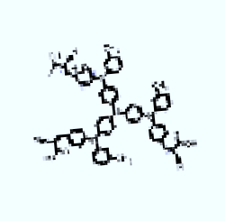 C=C(/C=C\C(=C/C)N(c1ccc(N(c2ccc(N(c3ccc(/C=C(/C#N)C(=O)O)cc3)c3cccc(C)c3)cc2)c2ccc(N(c3ccc(/C=C(/C#N)C(=O)O)cc3)c3cccc(C)c3)cc2)cc1)c1cccc(C)c1)/C=C(\C#N)C(=O)O